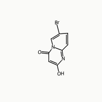 O=c1cc(O)nc2ccc(Br)cn12